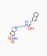 CS(=O)(=O)Nc1ccc2c(c1)CN(CCCCN/C(O)=C\Cc1ccc3ccccc3c1)CC2